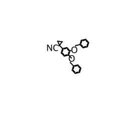 N#CC1(c2ccc(OCc3ccccc3)c(OCc3ccccc3)c2)CC1